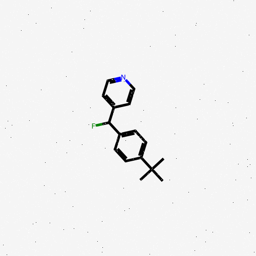 CC(C)(C)c1ccc(C(F)c2ccncc2)cc1